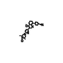 COc1c(-c2ccc(N3CC(C)N(C=O)C(C)C3)nc2)cnc2c(-c3ccc(C#N)cc3)cccc12